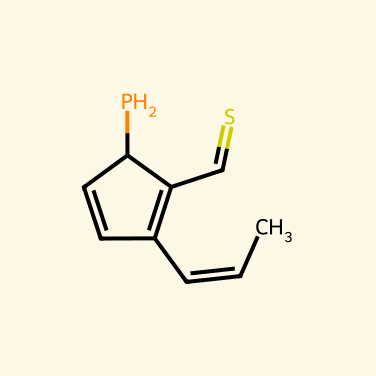 C/C=C\C1=C(C=S)C(P)C=C1